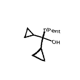 CCCCCC(O)(C1CC1)C1CC1